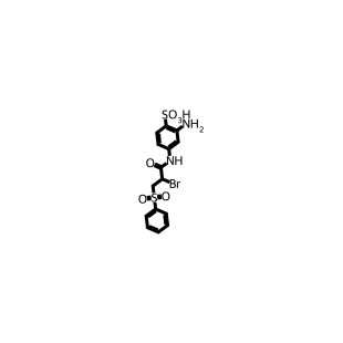 Nc1cc(NC(=O)C(Br)CS(=O)(=O)c2ccccc2)ccc1S(=O)(=O)O